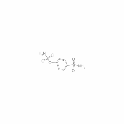 NS(=O)(=O)Oc1ccc(S(N)(=O)=O)cc1